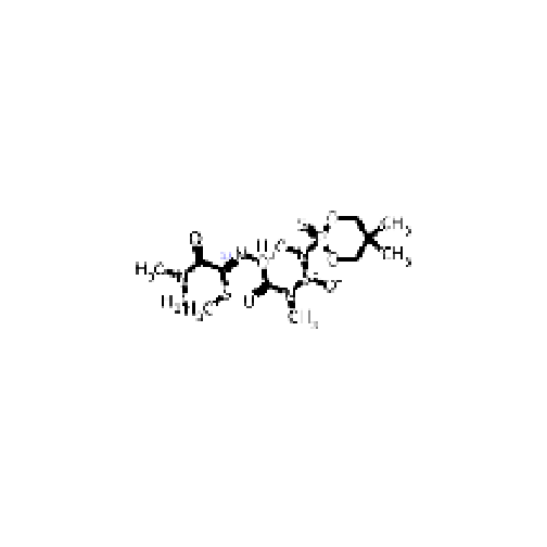 CS/C(=N\OC(=O)N(C)[S+]([O-])N(C)P1(=S)OCC(C)(C)CO1)C(=O)N(C)C